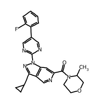 CC1COCCN1C(=O)c1cc2c(cn1)c(C1CC1)nn2-c1ncc(-c2ccccc2F)cn1